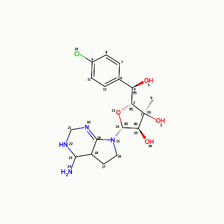 C[C@@]1(O)[C@@H]([C@H](O)c2ccc(Cl)cc2)O[C@@H](N2CCC3C2=NCNC3N)[C@@H]1O